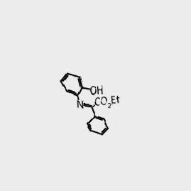 CCOC(=O)C(=Nc1ccccc1O)c1ccccc1